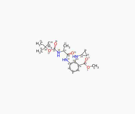 COC(=O)c1cccc(NC(=O)C(C)NC(=O)OC(C)(C)C)c1NC1CC1